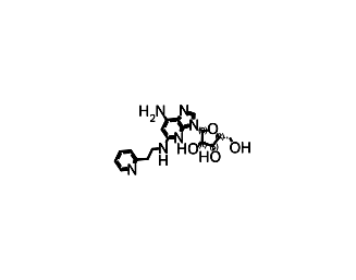 Nc1cc(NCCc2ccccn2)nc2c1ncn2[C@@H]1O[C@H](CO)[C@@H](O)[C@H]1O